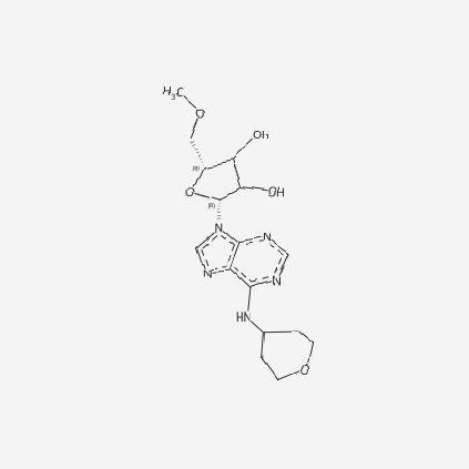 COC[C@H]1O[C@@H](n2cnc3c(NC4CCOCC4)ncnc32)C(O)C1O